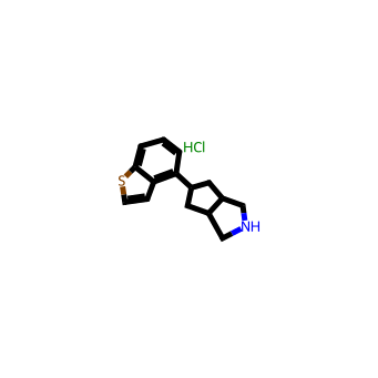 Cl.c1cc(C2CC3CNCC3C2)c2ccsc2c1